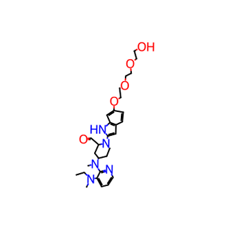 CCN(C)c1cccnc1N(C)C1CCN(c2cc3ccc(OCCOCCOCCO)cc3[nH]2)C(C=O)C1